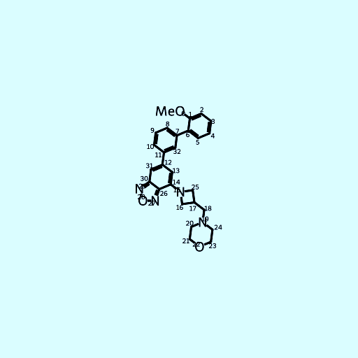 COc1ccccc1-c1cccc(-c2cc(N3CC(CN4CCOCC4)C3)c3nonc3c2)c1